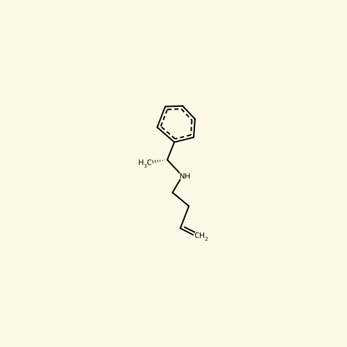 C=CCCN[C@H](C)c1ccccc1